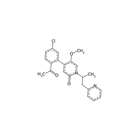 COc1cn(C(C)Cc2ccccn2)c(=O)cc1-c1cc(Cl)ccc1C(C)=O